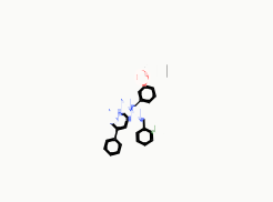 COc1cccc(-c2nc3ncc(-c4ccccc4)cc3n2Cc2ccccc2Cl)c1